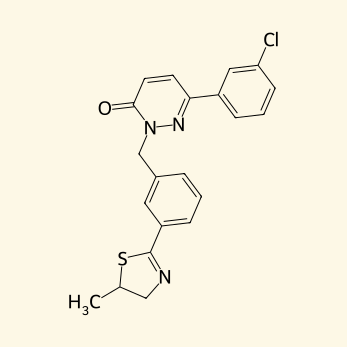 CC1CN=C(c2cccc(Cn3nc(-c4cccc(Cl)c4)ccc3=O)c2)S1